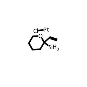 C=CC1([SiH3])CCCCO1.[Cl][Pt]